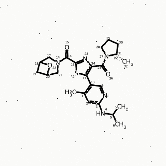 Cc1cc(NC(C)C)ncc1-c1sc(C(=O)N2CC3CC(C2)O3)nc1C(=O)N1CCC[C@@H]1C